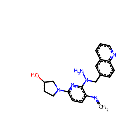 C=Nc1ccc(N2CCC(O)C2)nc1N(N)Cc1ccc2ncccc2c1